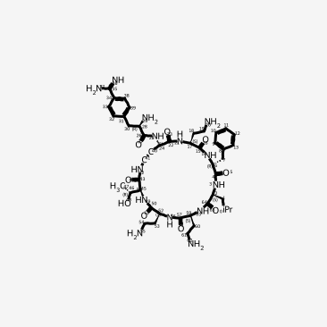 CC(C)C[C@@H]1NC(=O)[C@@H](Cc2ccccc2)NC(=O)[C@H](CCN)NC(=O)[C@@H](NC(=O)[C@H](N)Cc2ccc(C(=N)N)cc2)CCNC(=O)[C@H]([C@@H](C)O)NC(=O)[C@H](CCN)NC(=O)[C@H](CCN)NC1=O